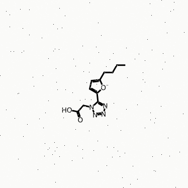 CCCCc1ccc(-c2nnnn2CC(=O)O)o1